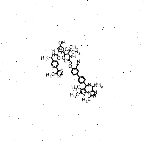 Cc1ncsc1-c1ccc([C@H](C)NC(=O)[C@@H]2C[C@@H](O)CN2C(=O)C(NC(=O)COc2ccc(-c3ccc(C4=NC(N)c5nnc(C)n5-c5sc(C)c(C)c54)cc3)cc2C#N)C(C)(C)C)cc1